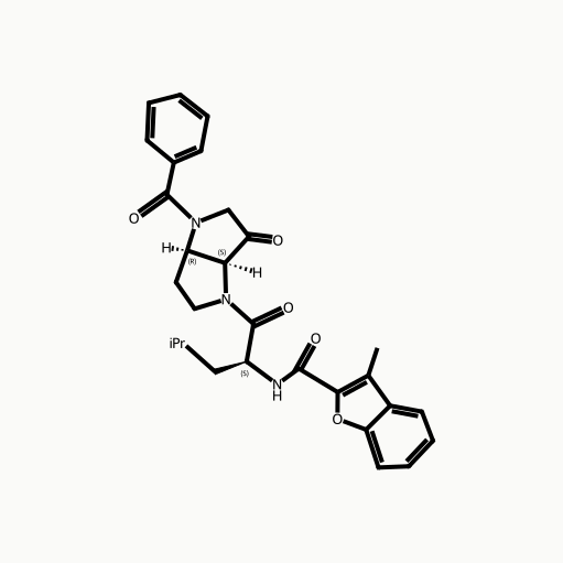 Cc1c(C(=O)N[C@@H](CC(C)C)C(=O)N2CC[C@@H]3[C@H]2C(=O)CN3C(=O)c2ccccc2)oc2ccccc12